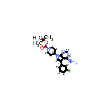 CC(C)(C)OC(=O)N1CCC(n2cc(-c3cccc(F)c3)c3c(N)ncnc32)CC1